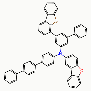 c1ccc(-c2ccc(-c3ccc(N(c4cc(-c5ccccc5)cc(-c5cccc6c5sc5ccccc56)c4)c4ccc5oc6ccccc6c5c4)cc3)cc2)cc1